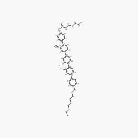 CCCCCCCCCc1ccc(-c2ccc(-c3ccc(-c4ccc(-c5ccc(OC(C)CCCCCC)cc5)c(Cl)c4)cc3F)c(F)c2)cc1